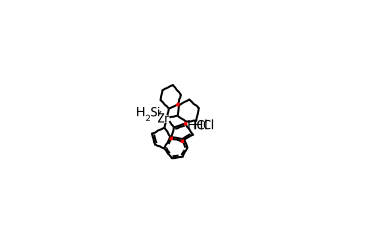 Cl.Cl.[SiH2]=[Zr]([C]1=CC=CC1)([CH]1CCCCC1)([CH]1CCCCC1)[CH]1C=Cc2ccccc21